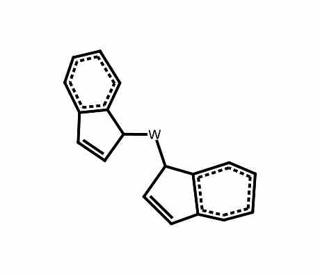 C1=C[CH]([W][CH]2C=Cc3ccccc32)c2ccccc21